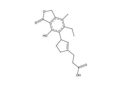 CCc1c(C)c2c(c(O)c1C1C=C(CCC(=O)O)CC1)C(=O)OC2